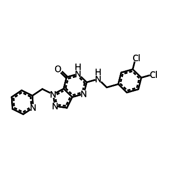 O=c1[nH]c(NCc2ccc(Cl)c(Cl)c2)nc2cnn(Cc3ccccn3)c12